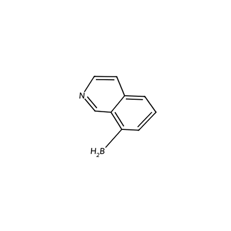 Bc1cccc2ccncc12